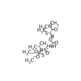 CCOP(=S)(OCC)N(C(C)C)[S+]([O-])CNC(=O)ON=C(SC)C(=O)N(C)C